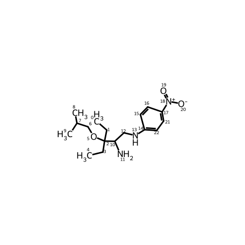 CCC(CC)(OCC(C)C)C(N)CNc1ccc([N+](=O)[O-])cc1